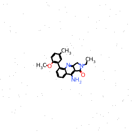 CCN1Cc2nc3c(-c4cc(C)ccc4OC)cccc3c(N)c2C1=O